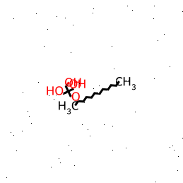 CCCCCCCCCCC(C)OCC(CO)(CO)CO